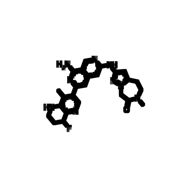 Cc1c(-c2cc3cc(Nc4cc5n(n4)CC(=O)N(C)CC5)ncc3c(N)n2)cnc2c1NCCC2F